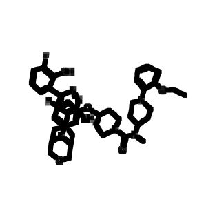 CCOc1ccccc1N1CCC(N(C)C(=O)N2CCC(Oc3cc(F)cc(N4C5COCC4CN(c4cc(-c6cccc(F)c6O)nnc4N)C5)c3)CC2)CC1